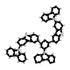 c1ccc2c(c1)c1ccccc1n2-c1cc(-c2ccc3oc4ccc(-n5c6ccccc6c6ccccc65)cc4c3c2)cc(-c2ccc3oc4ccc(-n5c6ccccc6c6ccccc65)cc4c3c2)c1